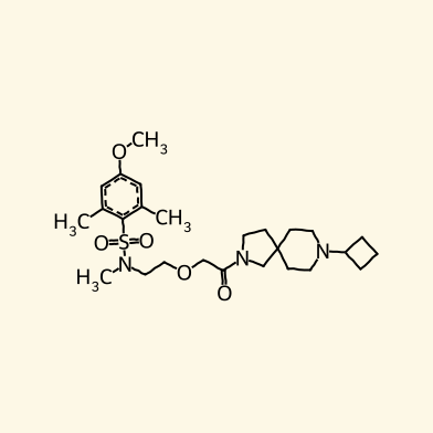 COc1cc(C)c(S(=O)(=O)N(C)CCOCC(=O)N2CCC3(CCN(C4CCC4)CC3)C2)c(C)c1